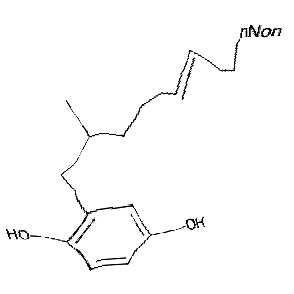 CCCCCCCCCCC=CCCC(C)Cc1cc(O)ccc1O